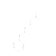 S=C(S)SCCCCc1ccccc1